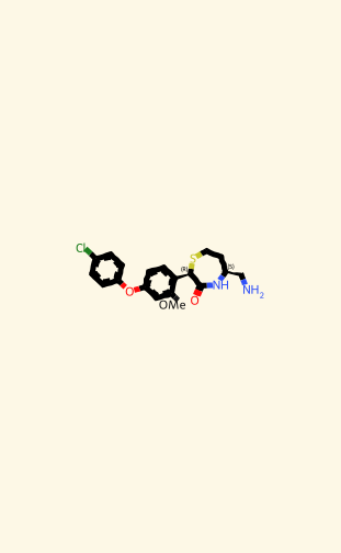 COc1cc(Oc2ccc(Cl)cc2)ccc1[C@H]1SCC[C@@H](CN)NC1=O